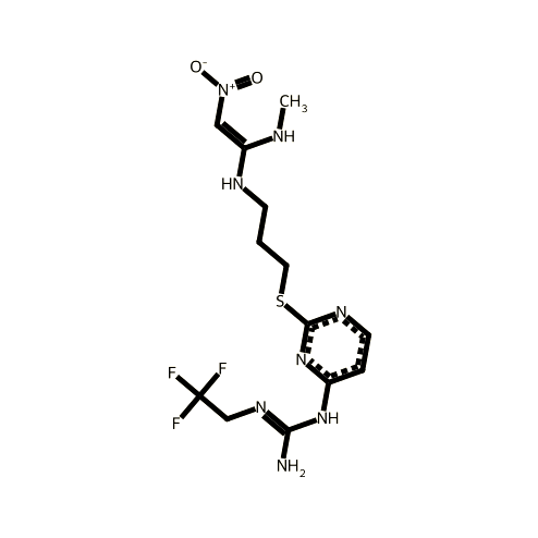 CNC(=C[N+](=O)[O-])NCCCSc1nccc(NC(N)=NCC(F)(F)F)n1